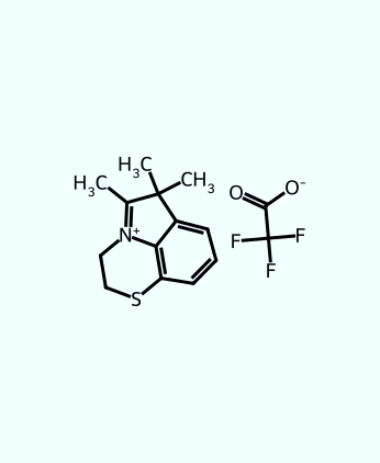 CC1=[N+]2CCSc3cccc(c32)C1(C)C.O=C([O-])C(F)(F)F